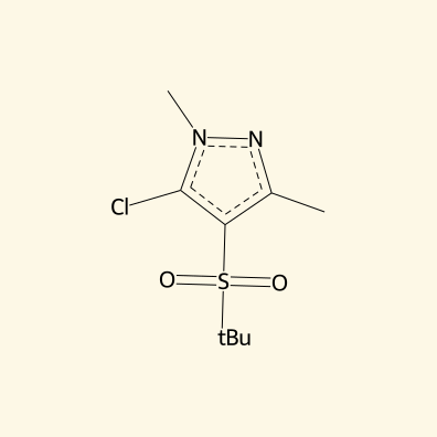 Cc1nn(C)c(Cl)c1S(=O)(=O)C(C)(C)C